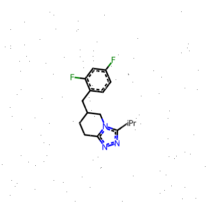 CC(C)c1nnc2n1CC(Cc1ccc(F)cc1F)CC2